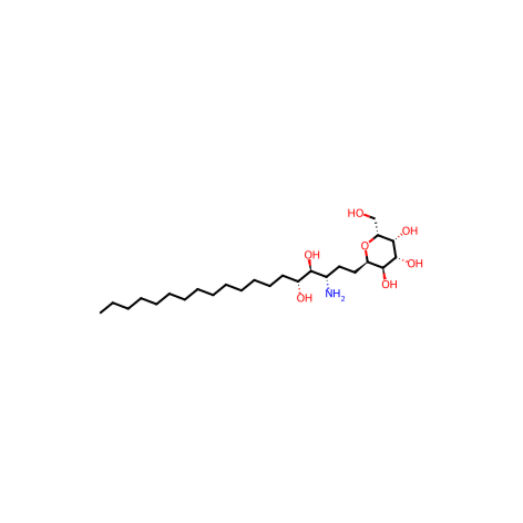 CCCCCCCCCCCCCC[C@@H](O)[C@@H](O)[C@@H](N)CC[C@H]1O[C@H](CO)[C@H](O)[C@H](O)[C@H]1O